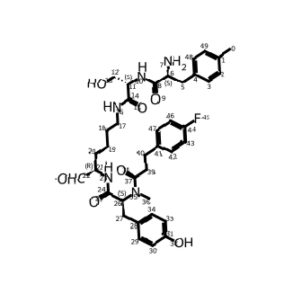 Cc1ccc(C[C@H](N)C(=O)N[C@@H](CO)C(=O)NCCCC[C@H]([C]=O)NC(=O)[C@H](Cc2ccc(O)cc2)N(C)C(=O)CCc2ccc(F)cc2)cc1